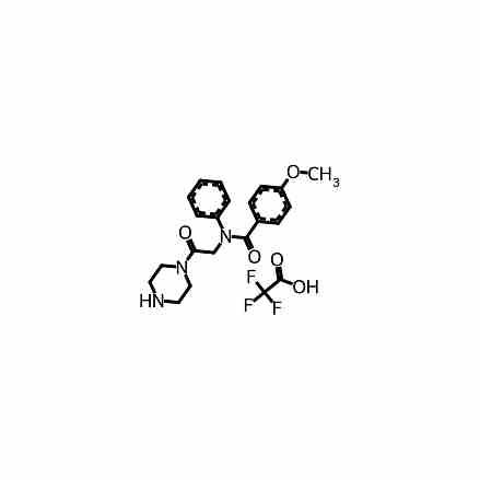 COc1ccc(C(=O)N(CC(=O)N2CCNCC2)c2ccccc2)cc1.O=C(O)C(F)(F)F